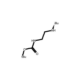 CC[C@H](C)NCCNC(=O)OC(C)(C)C